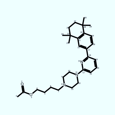 CC(=O)OCCCCN1CCN(c2cccc(-c3ccc4c(c3)C(C)(C)CCC4(C)C)n2)CC1